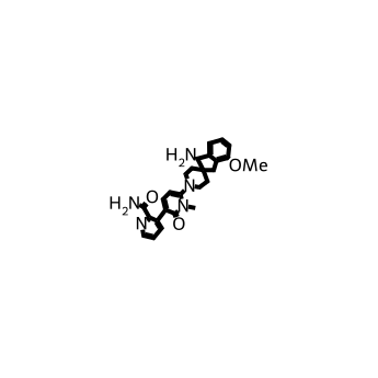 COc1cccc2c1CC1(CCN(c3ccc(-c4cccnc4C(N)=O)c(=O)n3C)CC1)[C@@H]2N